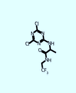 CC(Nc1nc(Cl)nc(Cl)n1)C(=O)NCC(F)(F)F